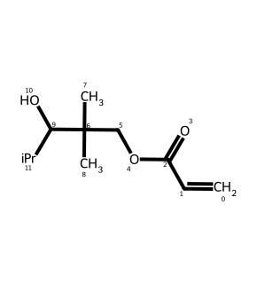 C=CC(=O)OCC(C)(C)C(O)C(C)C